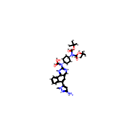 Cn1nc(N)cc1-c1cc2cnc(N(C(=O)O)[C@H]3CC[C@H](N(C(=O)OC(C)(C)C)C(=O)OC(C)(C)C)CC3)nc2c2ccccc12